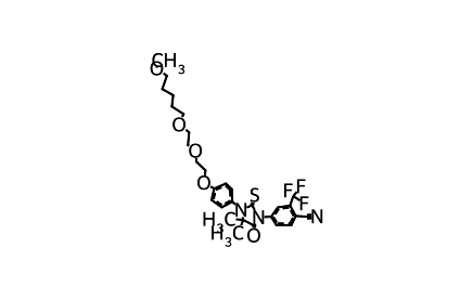 COCCCCCOCCOCCOc1ccc(N2C(=S)N(c3ccc(C#N)c(C(F)(F)F)c3)C(=O)C2(C)C)cc1